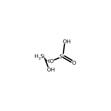 O=[Si](O)O.O[SiH3]